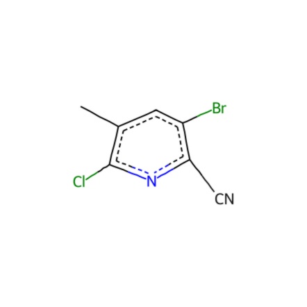 Cc1cc(Br)c(C#N)nc1Cl